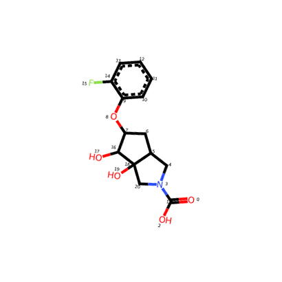 O=C(O)N1CC2CC(Oc3ccccc3F)C(O)C2(O)C1